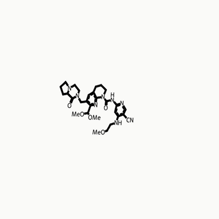 COCCNc1cc(NC(=O)N2CCCc3cc(CN4CCN5CCCC5C4=O)c(C(OC)OC)nc32)ncc1C#N